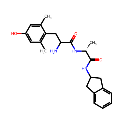 Cc1cc(O)cc(C)c1CC(N)C(=O)N[C@H](C)C(=O)NC1Cc2ccccc2C1